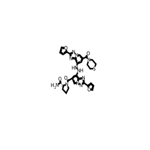 NC(=O)[C@H]1CCCN1C(=O)c1cc(NNc2cc(C(=O)N3CCSCC3)cn3nc(-c4ccco4)nc23)c2nc(-c3ccco3)nn2c1